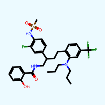 CCCN(CCC)c1cc(C(F)(F)F)ccc1CCC(CNC(=O)c1ccccc1O)c1ccc(NS(C)(=O)=O)c(F)c1